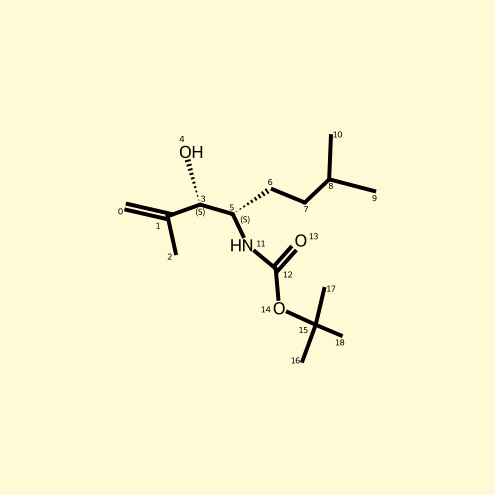 C=C(C)[C@H](O)[C@H](CCC(C)C)NC(=O)OC(C)(C)C